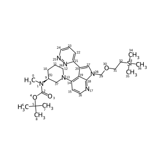 CN(C(=O)OC(C)(C)C)[C@H]1CCCN(c2ccnc3c2c(-c2cccnn2)cn3COCC[Si](C)(C)C)C1